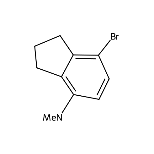 CNc1ccc(Br)c2c1CCC2